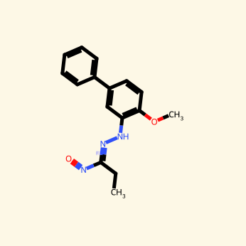 CC/C(N=O)=N\Nc1cc(-c2ccccc2)ccc1OC